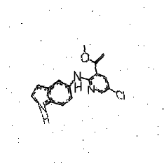 C=C(OC)c1cc(Cl)cnc1Nc1ccc2[nH]ccc2c1